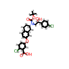 CC(C)(C)OC(=O)N(C[C@@H](O)c1ccc(Cl)cc1)[C@H]1CCc2ccc(Oc3ccc(Cl)c(C(=O)O)c3)cc2C1